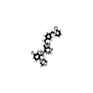 O=c1ccccn1Cc1ccc(Cn2cc3c(NCc4cc(F)ccc4N4CCOCC4)ncnc3n2)cc1